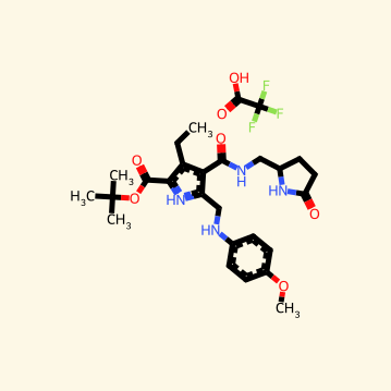 CCc1c(C(=O)OC(C)(C)C)[nH]c(CNc2ccc(OC)cc2)c1C(=O)NCC1CCC(=O)N1.O=C(O)C(F)(F)F